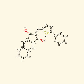 O=C1C(=Cc2ccc(-c3ccccc3)s2)C(=O)c2cc3ccccc3cc21